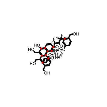 OCc1ccc(OP2(Oc3ccc(CO)cc3)(OC(C(F)(F)F)C(F)(F)F)N=PNP(Oc3ccc(CO)cc3)(Oc3ccc(CO)cc3)(Oc3ccc(CO)cc3)N2)cc1